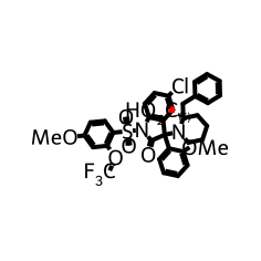 COc1ccc(S(=O)(=O)N2C(=O)C(c3ccccc3OC)(N3CCCC[C@]3(Cc3ccccc3)C(=O)O)c3cc(Cl)ccc32)c(OC(F)(F)F)c1